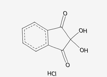 Cl.O=C1c2ccccc2C(=O)C1(O)O